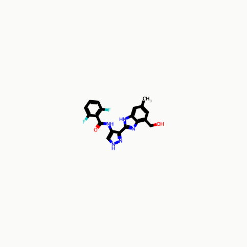 Cc1cc(CO)c2nc(-c3n[nH]cc3NC(=O)c3c(F)cccc3F)[nH]c2c1